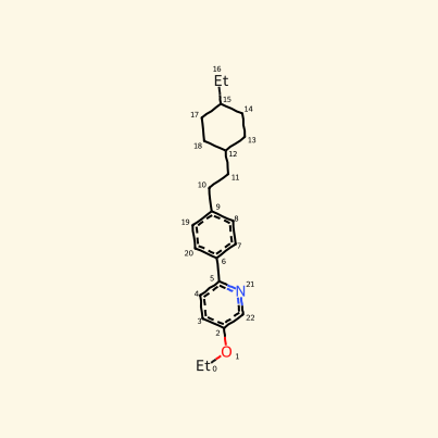 CCOc1ccc(-c2ccc(CCC3CCC(CC)CC3)cc2)nc1